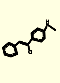 CNc1ccc(C(Cl)=Cc2ccccc2)cc1